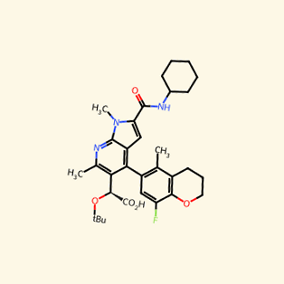 Cc1nc2c(cc(C(=O)NC3CCCCC3)n2C)c(-c2cc(F)c3c(c2C)CCCO3)c1[C@H](OC(C)(C)C)C(=O)O